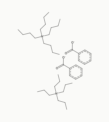 CCCC[N+](CCCC)(CCCC)CCCC.CCC[N+](CCC)(CCC)CCC.O=C([O-])c1ccccc1.O=C([O-])c1ccccc1